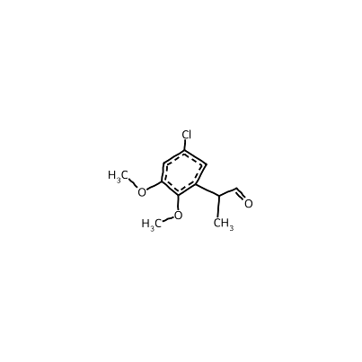 COc1cc(Cl)cc(C(C)C=O)c1OC